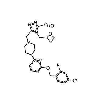 O=Cc1nnc(CN2CCC(c3cccc(OCc4ccc(Cl)cc4F)n3)CC2)n1C[C@@H]1CCO1